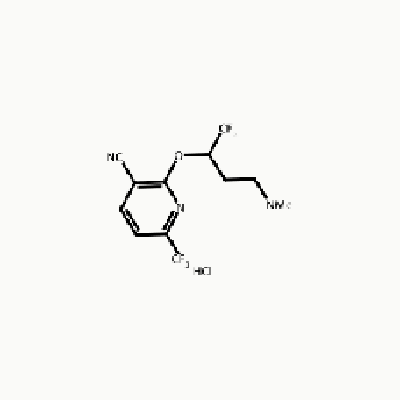 CNCCC(Oc1nc(C(F)(F)F)ccc1C#N)C(F)(F)F.Cl